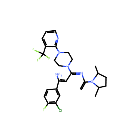 C=C(/N=C(\C=C(/N)c1ccc(F)c(Cl)c1)N1CCN(c2ncccc2C(F)(F)F)CC1)N1C(C)CCC1C